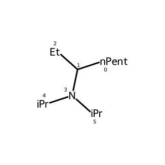 CCCCCC(CC)N(C(C)C)C(C)C